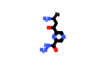 CCC(N)CC(=O)c1cncc(C(=O)NN)n1